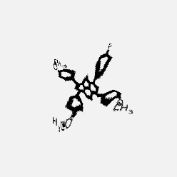 COc1ccc(-c2cc(-c3ccc(F)cc3)c3ccc4c(-c5ccc(OC)cc5)cc(-c5ccc(OC)cc5)c5ccc2c3c45)cc1